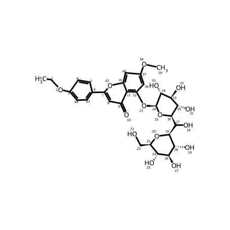 CCOc1ccc(-c2cc(=O)c3c(O[C@@H]4O[C@H](C(O)[C@@H]5O[C@H](CO)[C@@H](O)[C@H](O)[C@H]5O)[C@@H](O)[C@H](O)[C@H]4O)cc(OC)cc3o2)cc1